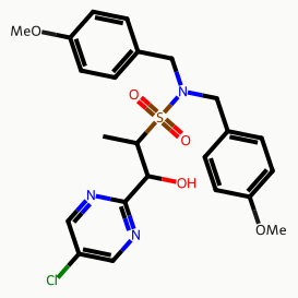 COc1ccc(CN(Cc2ccc(OC)cc2)S(=O)(=O)C(C)C(O)c2ncc(Cl)cn2)cc1